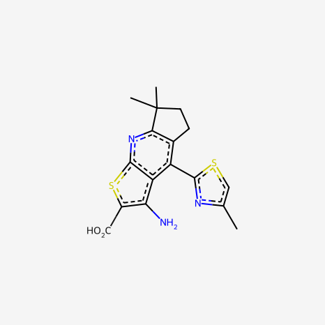 Cc1csc(-c2c3c(nc4sc(C(=O)O)c(N)c24)C(C)(C)CC3)n1